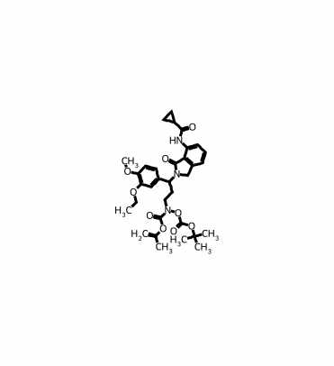 C=C(C)OC(=O)N(CCC(c1ccc(OC)c(OCC)c1)N1Cc2cccc(NC(=O)C3CC3)c2C1=O)OC(=O)OC(C)(C)C